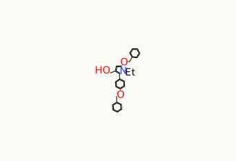 CCn1c(OCc2ccccc2)cc(CO)c1-c1ccc(OCc2ccccc2)cc1